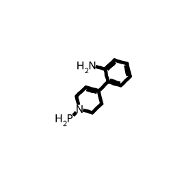 Nc1ccccc1C1=CCN(P)CC1